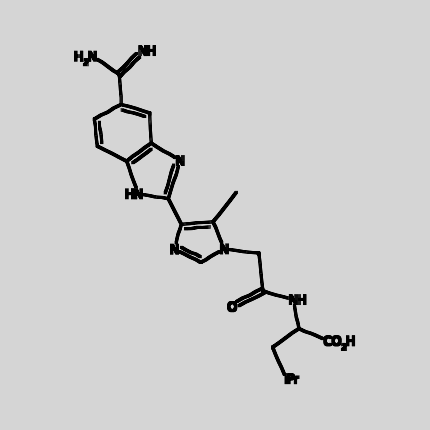 Cc1c(-c2nc3cc(C(=N)N)ccc3[nH]2)ncn1CC(=O)NC(CC(C)C)C(=O)O